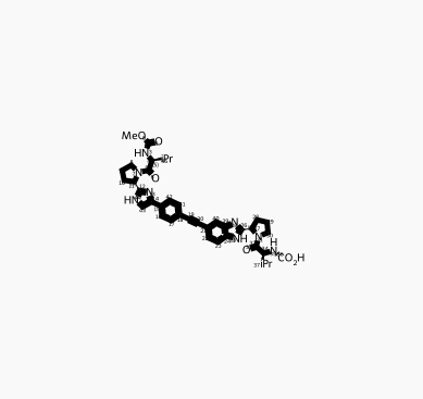 COC(=O)N[C@H](C(=O)N1CCC[C@H]1c1nc(-c2ccc(C#Cc3ccc4[nH]c([C@@H]5CCCN5C(=O)[C@@H](NC(=O)O)C(C)C)nc4c3)cc2)c[nH]1)C(C)C